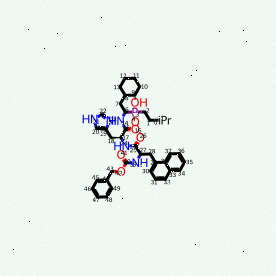 CC(C)CCP(=O)(O)C(CC1CCCCC1)NC(=O)[C@H](Cc1c[nH]cn1)NC(=O)C(Cc1cccc2ccccc12)NC(=O)OCc1ccccc1